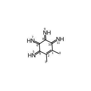 Cc1c(C)c(=N)c(=N)c(=N)c1=N